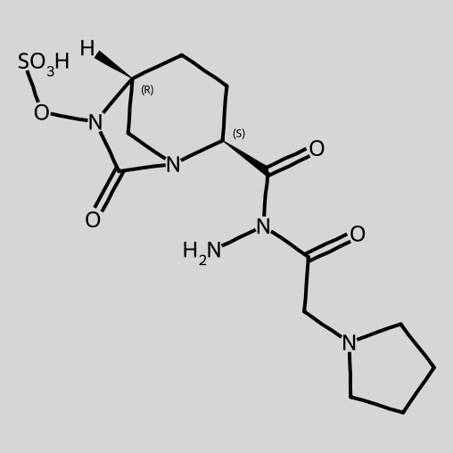 NN(C(=O)CN1CCCC1)C(=O)[C@@H]1CC[C@@H]2CN1C(=O)N2OS(=O)(=O)O